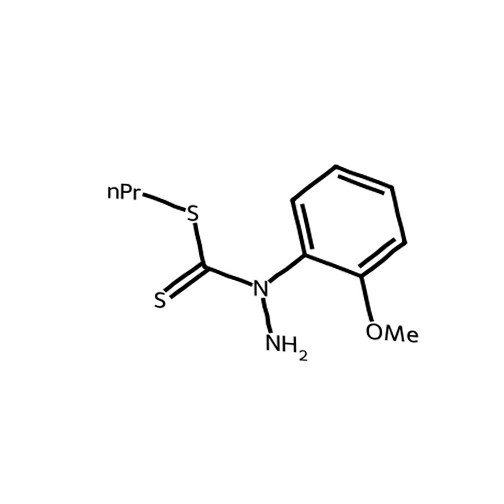 CCCSC(=S)N(N)c1ccccc1OC